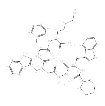 CN(NC(=O)[C@@H](Cc1c[nH]c2ccccc12)NC(=O)C1CCCCC1)C(=O)N[C@@H](Cc1c[nH]c2ccccc12)C(=O)N[C@H](Cc1ccccc1)C(=O)N[C@@H](CCCCN)C(N)=O